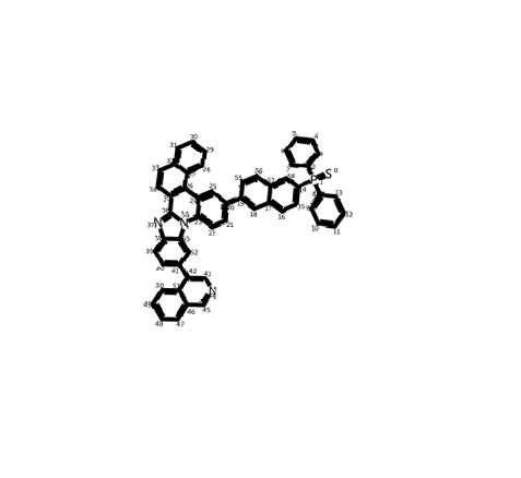 S=P(c1ccccc1)(c1ccccc1)c1ccc2cc(-c3ccc4c(c3)c3c5ccccc5ccc3c3nc5ccc(-c6cncc7ccccc67)cc5n43)ccc2c1